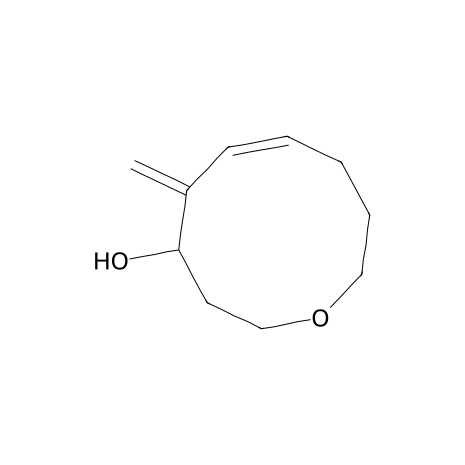 C=C1/C=C\CCCOCCC1O